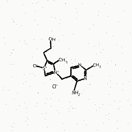 Cc1ncc(C[n+]2c[s+]([O-])c(CCO)c2C)c(N)n1.[Cl-]